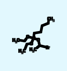 CCCCC[Si](OCC)(OCC)OC(C)Br